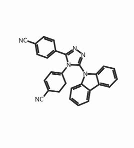 N#CC1=CC=C(n2c(-c3ccc(C#N)cc3)nnc2-n2c3ccccc3c3ccccc32)CC1